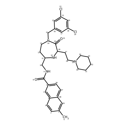 Cc1ccc2cc(C(=O)NCC3CCN(Cc4cc(Cl)cc(Cl)c4)C(=O)C(CCN4CCCCC4)N3)ccc2c1